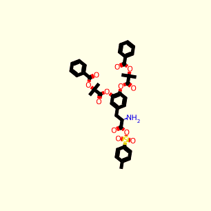 Cc1ccc(S(=O)(=O)OC(=O)[C@@H](N)Cc2ccc(OC(=O)C(C)(C)OC(=O)c3ccccc3)c(OC(=O)C(C)(C)OC(=O)c3ccccc3)c2)cc1